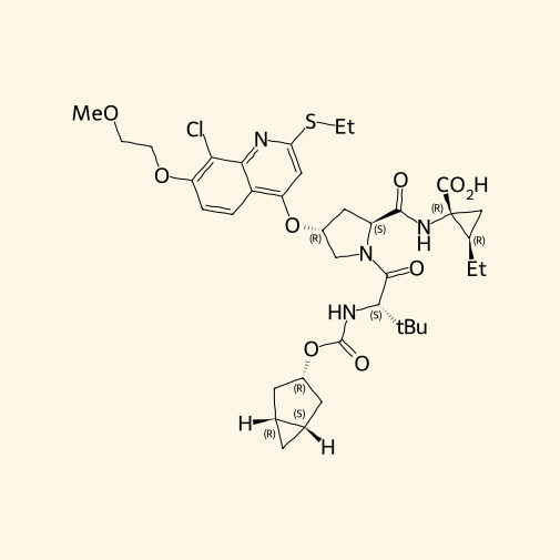 CCSc1cc(O[C@@H]2C[C@@H](C(=O)N[C@]3(C(=O)O)C[C@H]3CC)N(C(=O)[C@@H](NC(=O)O[C@@H]3C[C@@H]4C[C@@H]4C3)C(C)(C)C)C2)c2ccc(OCCOC)c(Cl)c2n1